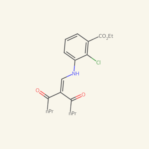 CCCC(=O)C(=CNc1cccc(C(=O)OCC)c1Cl)C(=O)CCC